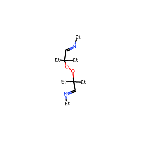 CCN=CC(CC)(CC)OOC(C=NCC)(CC)CC